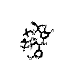 COc1cc([C@H](Nc2cc(Cl)c3ncc(C#N)c(NCC(C)(C)C)c3c2)c2nnn(C3(C(F)(F)F)CC3)c2F)ccn1